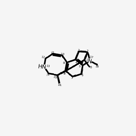 CC1C2CC3=C(CCC4=C3/C=C\CNCC41C)N2C